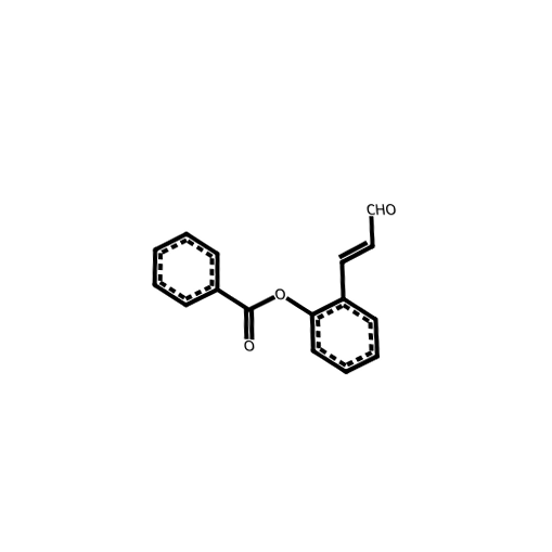 O=CC=Cc1ccccc1OC(=O)c1ccccc1